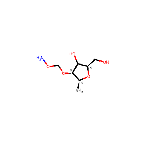 B[C@@H]1O[C@H](CO)C(O)[C@@H]1OCON